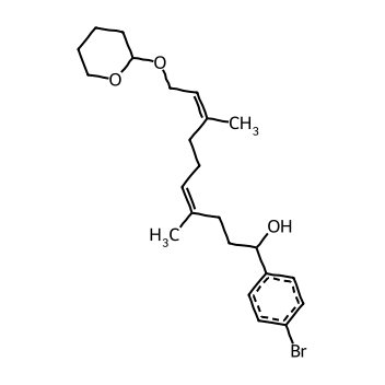 CC(=CCOC1CCCCO1)CCC=C(C)CCC(O)c1ccc(Br)cc1